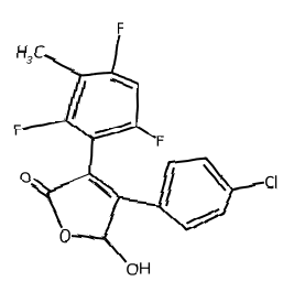 Cc1c(F)cc(F)c(C2=C(c3ccc(Cl)cc3)C(O)OC2=O)c1F